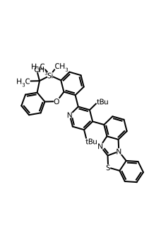 CC(C)(C)c1cnc(-c2cccc3c2Oc2ccccc2C(C)(C)[Si]3(C)C)c(C(C)(C)C)c1-c1cccc2c1nc1sc3ccccc3n12